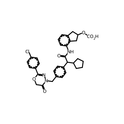 O=C(O)OC1Cc2cccc(NC(=O)C(c3ccc(CN4N=C(c5ccc(Cl)cc5)OCC4=O)cc3)C3CCCC3)c2C1